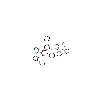 C1=CCC2C(=C1)c1ccc(N(c3cccc(-c4ccccc4)c3)c3cccc4oc5c(-n6c7ccccc7c7ccccc76)c6c(cc5c34)oc3ccccc36)cc1C21c2ccccc2-c2ccccc21